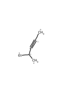 CC#CC(C)[CH]C